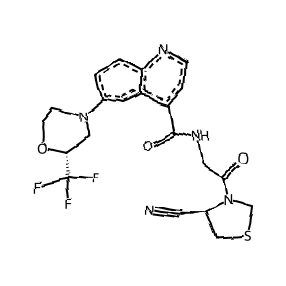 N#C[C@@H]1CSCN1C(=O)CNC(=O)c1ccnc2ccc(N3CCO[C@@H](C(F)(F)F)C3)cc12